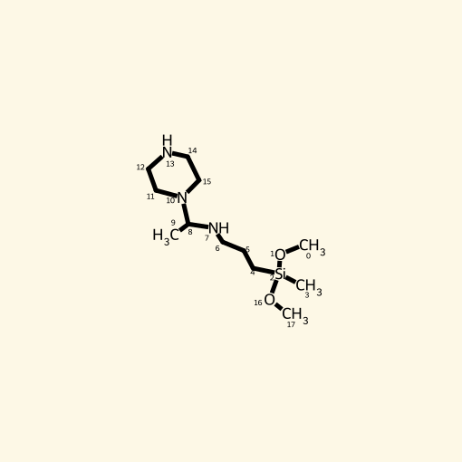 CO[Si](C)(CCCNC(C)N1CCNCC1)OC